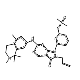 C=CCn1c(=O)c2cnc(Nc3cc(C)c4c(c3)C(C)(C)N(C)CC4)nc2n1-c1cccc(N=S(C)(C)=O)n1